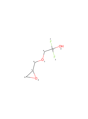 OC(F)(F)COCC1CO1